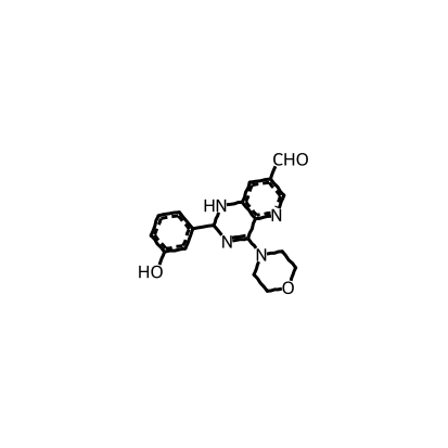 O=Cc1cnc2c(c1)NC(c1cccc(O)c1)N=C2N1CCOCC1